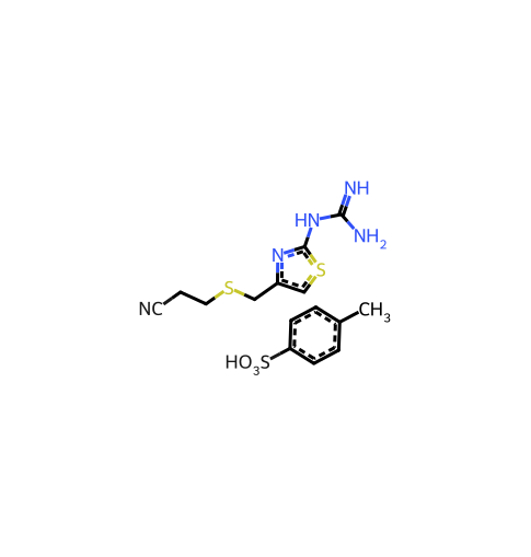 Cc1ccc(S(=O)(=O)O)cc1.N#CCCSCc1csc(NC(=N)N)n1